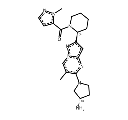 Cc1cn2nc([C@@H]3CCCCN3C(=O)c3ccnn3C)cc2nc1N1CC[C@H](N)C1